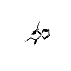 COC(=O)S1([N+](=O)[O-])C=CC=C1